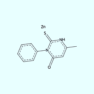 Cc1cc(=O)n(-c2ccccc2)c(=S)[nH]1.[Zn]